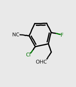 N#Cc1ccc(F)c(CC=O)c1Cl